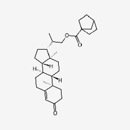 CC(COC(=O)C12CCC(CC1)C2)[C@H]1CC[C@H]2[C@@H]3CCC4=CC(=O)CC[C@]4(C)[C@H]3CC[C@]12C